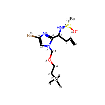 C=CCC(N[S@@+]([O-])C(C)(C)C)c1nc(Br)cn1COCC[Si](C)(C)C